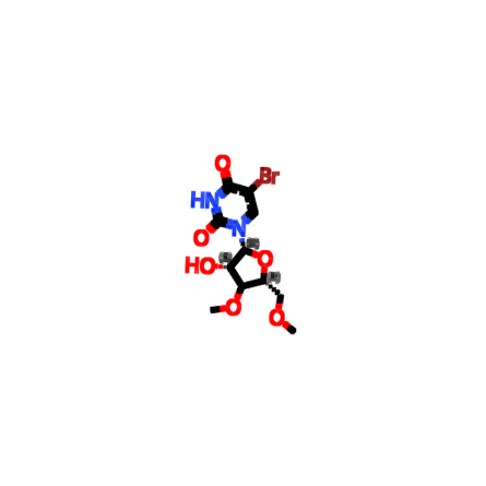 COC[C@H]1O[C@@H](n2cc(Br)c(=O)[nH]c2=O)[C@@H](O)C1OC